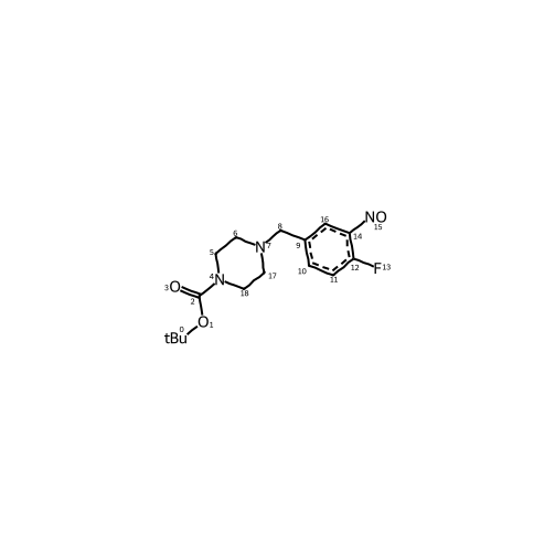 CC(C)(C)OC(=O)N1CCN(Cc2ccc(F)c(N=O)c2)CC1